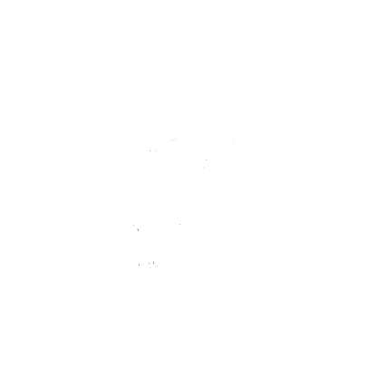 CO/N=C/c1ccc(F)c(Cl)c1